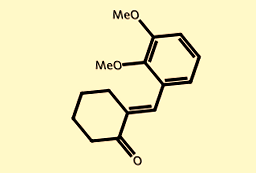 COc1cccc(C=C2CCCCC2=O)c1OC